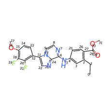 CCc1cc(Nc2nccn3c(-c4ccc(OC)c(F)c4F)cnc23)ccc1C(=O)OC